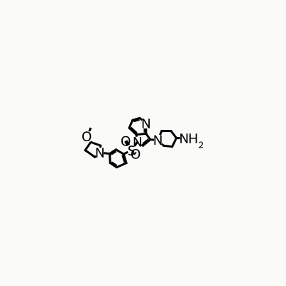 COC1CCN(c2cccc(S(=O)(=O)n3cc(N4CCC(N)CC4)c4ncccc43)c2)C1